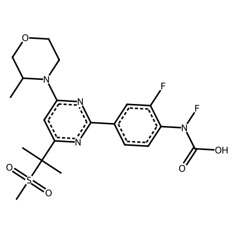 CC1COCCN1c1cc(C(C)(C)S(C)(=O)=O)nc(-c2ccc(N(F)C(=O)O)c(F)c2)n1